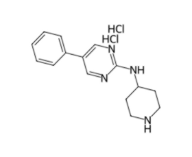 Cl.Cl.c1ccc(-c2cnc(NC3CCNCC3)nc2)cc1